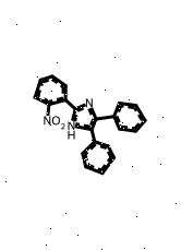 O=[N+]([O-])c1ccccc1-c1nc(-c2ccccc2)c(-c2ccccc2)[nH]1